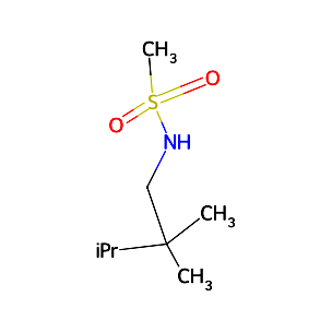 CC(C)C(C)(C)CNS(C)(=O)=O